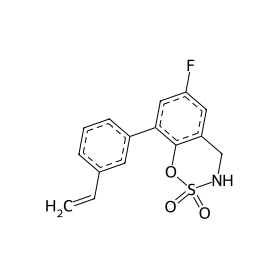 C=Cc1cccc(-c2cc(F)cc3c2OS(=O)(=O)NC3)c1